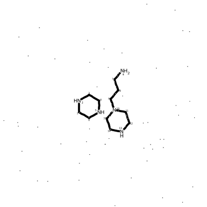 C1CNCCN1.NCCCN1CCNCC1